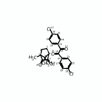 CC12CCC(C(=O)C1=O)C2(C)C.O=C(C(=O)c1ccc(Cl)cc1)c1ccc(Cl)cc1